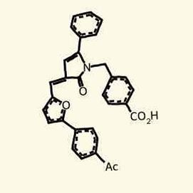 CC(=O)c1ccc(-c2ccc(C=C3C=C(c4ccccc4)N(Cc4ccc(C(=O)O)cc4)C3=O)o2)cc1